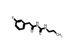 CCCNC(=S)NC(=O)Cc1cccc(F)c1